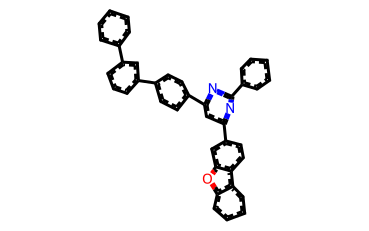 c1ccc(-c2cccc(-c3ccc(-c4cc(-c5ccc6c(c5)oc5ccccc56)nc(-c5ccccc5)n4)cc3)c2)cc1